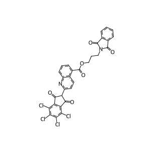 O=C(OCCCN1C(=O)c2ccccc2C1=O)c1cccc2nc(C3C(=O)c4c(Cl)c(Cl)c(Cl)c(Cl)c4C3=O)ccc12